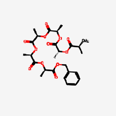 CC(=O)O[C@@H](C)C(=O)O[C@H](C)C(=O)O[C@H](C)C(=O)O[C@H](C)C(=O)O[C@H](C)C(=O)O[C@H](C)C(=O)OCc1ccccc1